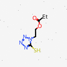 CCC(=O)OCCn1nnnc1S